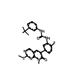 CSc1ncc2cc(-c3ccc(F)c(NC(=O)Nc4cccc(C(C)(C)C)c4)c3)c(=O)n(C)c2n1